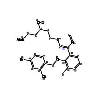 C=N/C(=C\SCCC(C=O)CCNC)c1cccc(C)c1OCc1ccc(Br)cc1C#N